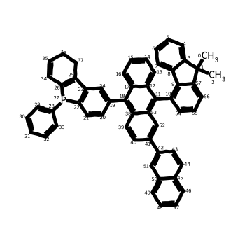 CC1(C)c2ccccc2-c2c(-c3c4ccccc4c(-c4ccc5c(c4)c4c(p5-c5ccccc5)C=CCC4)c4ccc(-c5ccc6ccccc6c5)cc34)cccc21